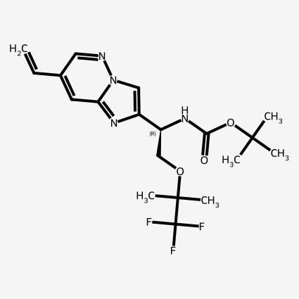 C=Cc1cnn2cc([C@H](COC(C)(C)C(F)(F)F)NC(=O)OC(C)(C)C)nc2c1